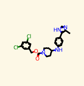 Cc1nc[nH]c1-c1ccc(NC2CCN(C(=O)OCc3cc(Cl)cc(Cl)c3)CC2)cc1